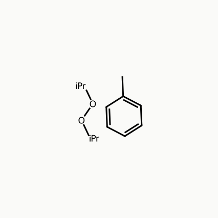 CC(C)OOC(C)C.Cc1ccccc1